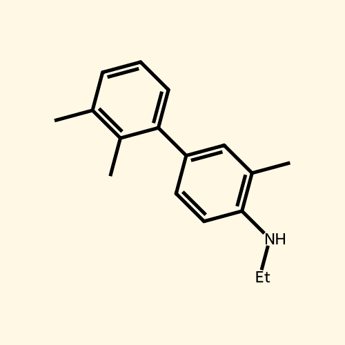 CCNc1ccc(-c2cccc(C)c2C)cc1C